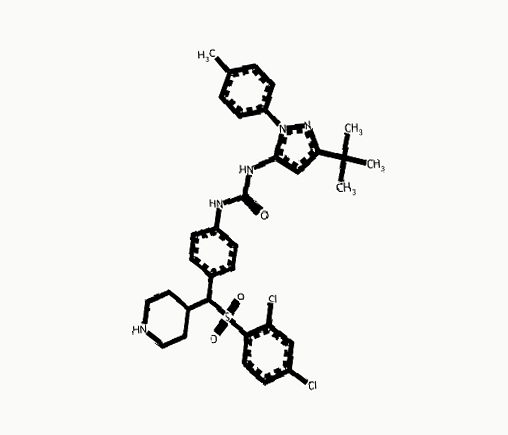 Cc1ccc(-n2nc(C(C)(C)C)cc2NC(=O)Nc2ccc(C(C3CCNCC3)S(=O)(=O)c3ccc(Cl)cc3Cl)cc2)cc1